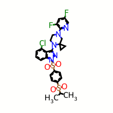 CC(C)S(=O)(=O)c1ccc(S(=O)(=O)n2nc(N3CCN(c4ncc(F)cc4F)CC34CC4)c3c(Cl)cccc32)cc1